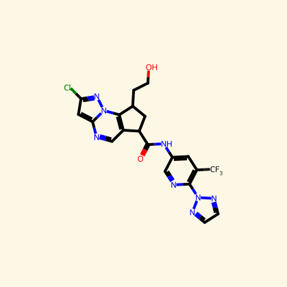 O=C(Nc1cnc(-n2nccn2)c(C(F)(F)F)c1)C1CC(CCO)c2c1cnc1cc(Cl)nn21